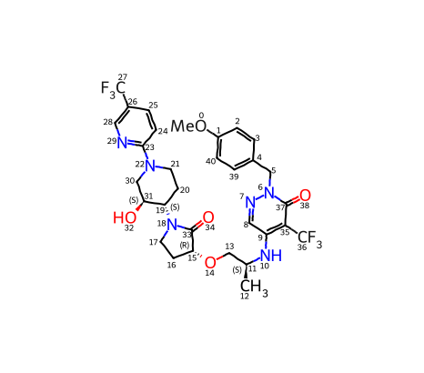 COc1ccc(Cn2ncc(N[C@@H](C)CO[C@@H]3CCN([C@H]4CCN(c5ccc(C(F)(F)F)cn5)C[C@@H]4O)C3=O)c(C(F)(F)F)c2=O)cc1